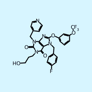 O=c1c2c(nc(Oc3cccc(OC(F)(F)F)c3)n2Cc2ccc(F)cc2)n(Cc2ccncc2)c(=O)n1CCCO